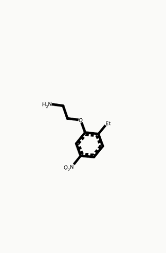 CCc1ccc([N+](=O)[O-])cc1OCCN